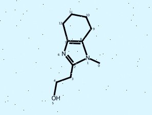 Cn1c(CCO)nc2c1CCCC2